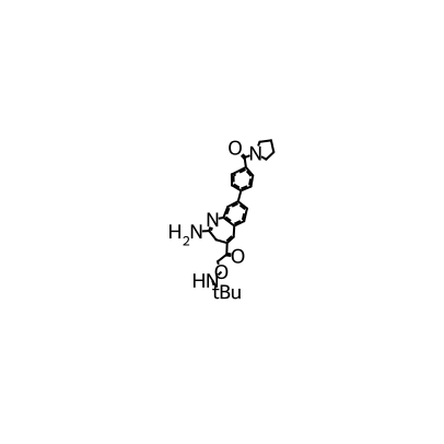 CC(C)(C)NOCC(=O)C1=Cc2ccc(-c3ccc(C(=O)N4CCCC4)cc3)cc2N=C(N)C1